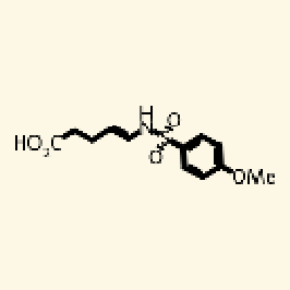 COc1ccc(S(=O)(=O)NC=CCCC(=O)O)cc1